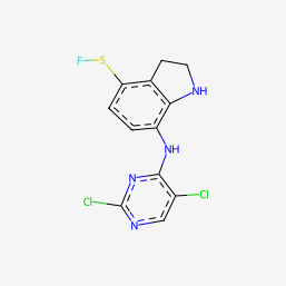 FSc1ccc(Nc2nc(Cl)ncc2Cl)c2c1CCN2